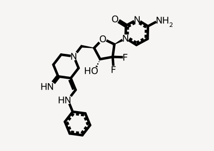 N=C1CCN(C[C@H]2O[C@@H](n3ccc(N)nc3=O)C(F)(F)[C@@H]2O)C/C1=C/Nc1ccccc1